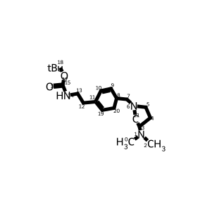 CN(C)C1CCN(CC2C=CC(CCNC(=O)OC(C)(C)C)=CC2)C1